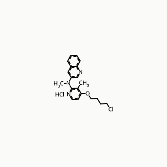 Cc1c(OCCCCCl)ccnc1N(C)c1cnc2ccccc2c1.Cl